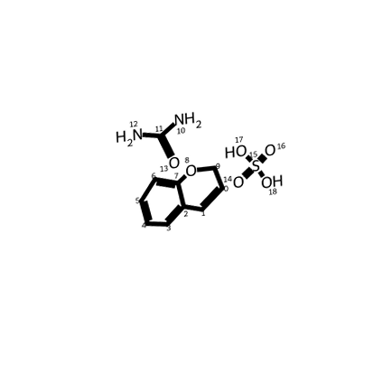 C1=Cc2ccccc2OC1.NC(N)=O.O=S(=O)(O)O